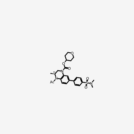 CC(=O)N1c2ccc(-c3ccc(S(=O)(=O)N(C)C)cc3)cc2N(C(=O)OC2CCOCC2)C[C@@H]1C